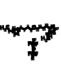 CC[n+]1ccn(CCCCOCCCCC2=NC=C[NH+]2CC)c1.F[B-](F)(F)F.F[B-](F)(F)F